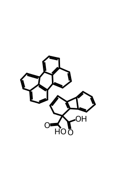 O=C(O)C1(C(=O)O)CC=CC2=C1c1ccccc12.c1cc2cccc3c4cccc5cccc(c(c1)c23)c54